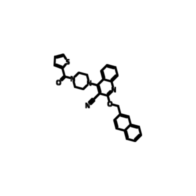 N#Cc1c(OCc2ccc3ccccc3c2)nc2ccccc2c1N1CCN(C(=O)c2cccs2)CC1